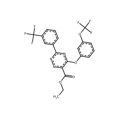 CCOC(=O)c1nnc(-c2cccc(C(F)(F)F)c2)nc1Oc1cccc(OC(F)(F)F)c1